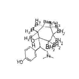 BC1(B)C(B)(B)C(B)(B)C(O)(C(CN(C)C)c2ccc(O)cc2)C(B)(B)C1(B)B